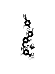 N#Cc1ccc(COc2nc(-c3ccc(Cc4nc5c(F)cc(C(=O)O)cc5n4C[C@@H]4CCO4)cc3F)ccc2F)c(F)c1